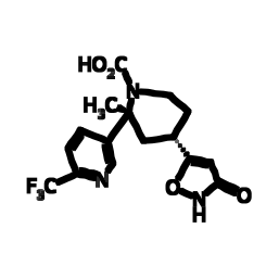 C[C@]1(c2ccc(C(F)(F)F)nc2)C[C@@H](c2cc(=O)[nH]o2)CCN1C(=O)O